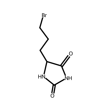 O=C1NC(=O)C(CCCBr)N1